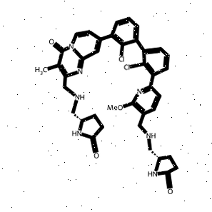 COc1nc(-c2cccc(-c3cccc(-c4ccn5c(=O)c(C)c(CNC[C@@H]6CCC(=O)N6)nc5c4)c3Cl)c2Cl)ccc1CNC[C@@H]1CCC(=O)N1